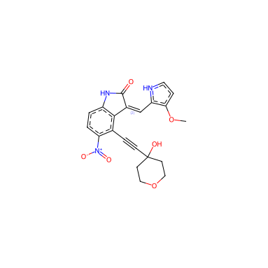 COc1cc[nH]c1/C=C1\C(=O)Nc2ccc([N+](=O)[O-])c(C#CC3(O)CCOCC3)c21